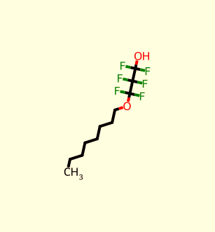 CCCCCCCCOC(F)(F)C(F)(F)C(O)(F)F